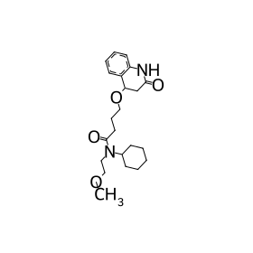 COCCN(C(=O)CCCOC1CC(=O)Nc2ccccc21)C1CCCCC1